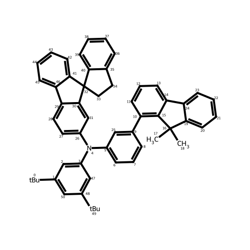 CC(C)(C)c1cc(N(c2cccc(-c3cccc4c3C(C)(C)c3ccccc3-4)c2)c2ccc3c(c2)C2(CCc4ccccc42)c2ccccc2-3)cc(C(C)(C)C)c1